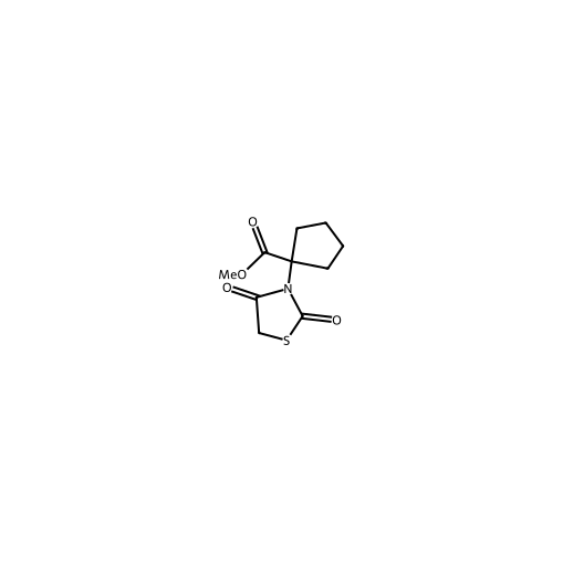 COC(=O)C1(N2C(=O)CSC2=O)CCCC1